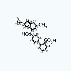 Cc1cc(C(O)c2ccc(-c3ccccc3C(=O)O)cc2)n2cc(C3CC3)nc2c1